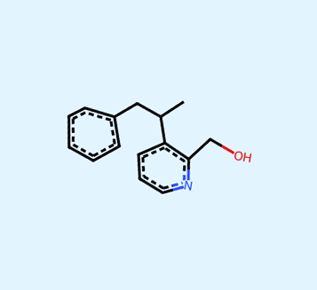 CC(Cc1ccccc1)c1cccnc1CO